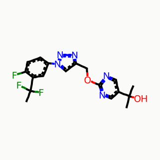 CC(C)(O)c1cnc(OCc2cn(-c3ccc(F)c(C(C)(F)F)c3)nn2)nc1